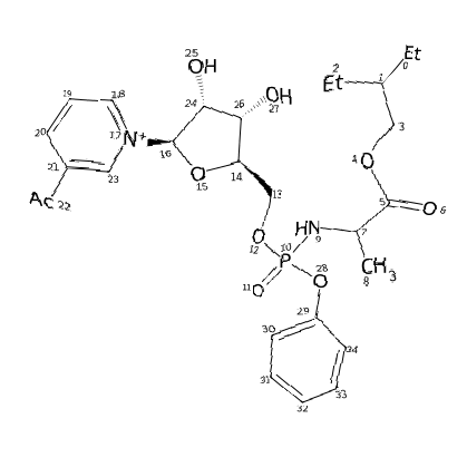 CCC(CC)COC(=O)C(C)NP(=O)(OC[C@H]1O[C@@H]([n+]2cccc(C(C)=O)c2)[C@H](O)[C@@H]1O)Oc1ccccc1